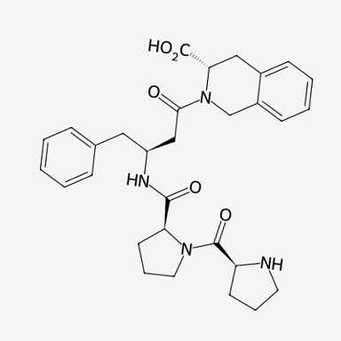 O=C(O)[C@@H]1Cc2ccccc2CN1C(=O)C[C@H](Cc1ccccc1)NC(=O)[C@@H]1CCCN1C(=O)[C@@H]1CCCN1